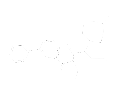 CCCC(c1nc2ccc(-c3ccccc3)cc2c(=O)n1CC)N1CCCN(C)CC1